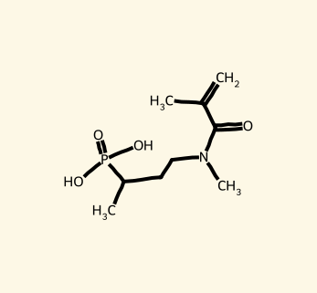 C=C(C)C(=O)N(C)CCC(C)P(=O)(O)O